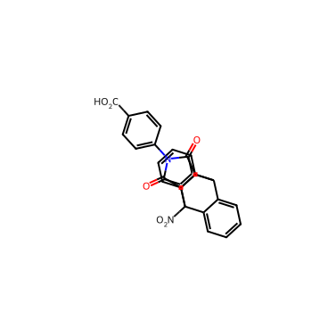 O=C(O)c1ccc(N2C(=O)C3=C(C2=O)C2([N+](=O)[O-])c4ccccc4C3c3ccccc32)cc1